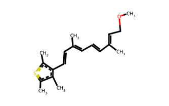 COCC=C(C)C=CC=C(C)C=Cc1c(C)sc(C)c1C